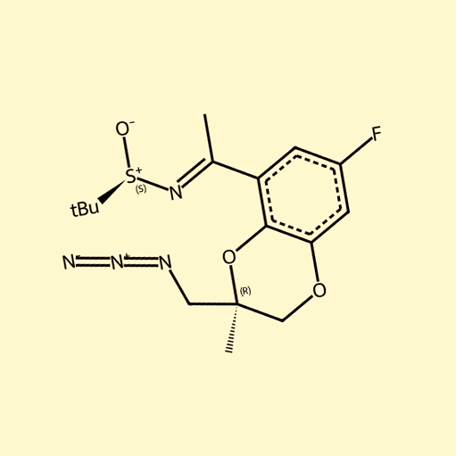 CC(=N[S@+]([O-])C(C)(C)C)c1cc(F)cc2c1O[C@](C)(CN=[N+]=[N-])CO2